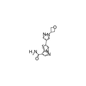 NC(=O)c1cnn2cc(-c3cnn(C4COC4)c3)sc12